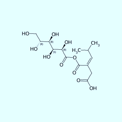 CC(C)C=C(CC(=O)O)C(=O)OC(=O)[C@H](O)[C@@H](O)[C@H](O)[C@H](O)CO